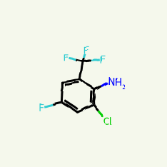 Nc1c(Cl)cc(F)cc1C(F)(F)F